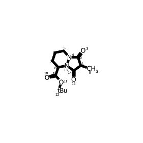 CC1C(=O)N2CCCC(C(=O)OC(C)(C)C)N2C1=O